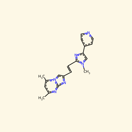 Cc1cc(C)n2cc(/C=C/c3nc(-c4ccncc4)cn3C)nc2n1